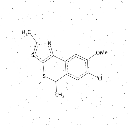 COc1cc2c(cc1Cl)C(C)Sc1sc(C)nc1-2